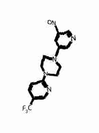 O=Nc1cncc(N2CCN(c3ccc(C(F)(F)F)cn3)CC2)c1